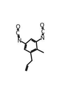 C=CCc1cc(N=C=O)cc(N=C=O)c1C